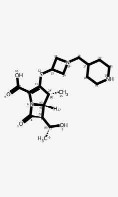 C[C@@H](O)[C@H]1C(=O)N2C(C(=O)O)=C(SC3CN(CC4CCNCC4)C3)[C@H](C)[C@H]12